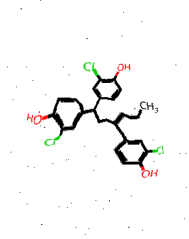 CCCC(CC(c1ccc(O)c(Cl)c1)c1ccc(O)c(Cl)c1)c1ccc(O)c(Cl)c1